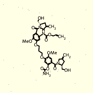 C=CCOC(=O)Nc1cc(OCCCOc2cc(OC(N)=O)c(C(=O)N3CC(=C)C[C@H]3CO)cc2OC)c(OC)cc1C(=O)N1CC(=C)C[C@H]1CO